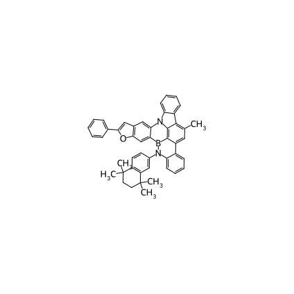 Cc1cc2c3c4c1c1ccccc1n4-c1cc4cc(-c5ccccc5)oc4cc1B3N(c1ccc3c(c1)C(C)(C)CCC3(C)C)c1ccccc1-2